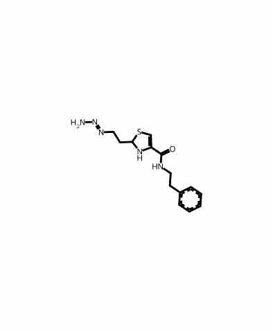 NN=NCCC1NC(C(=O)NCCc2ccccc2)=CS1